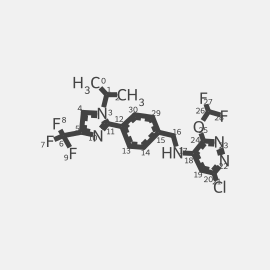 CC(C)n1cc(C(F)(F)F)nc1-c1ccc(CNc2cc(Cl)nnc2OC(F)F)cc1